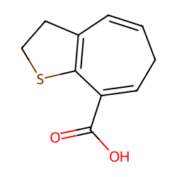 O=C(O)C1=CCC=CC2=C1SCC2